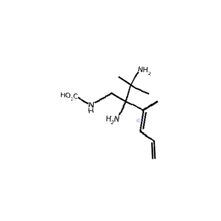 C=C/C=C(\C)C(N)(CNC(=O)O)C(C)(C)N